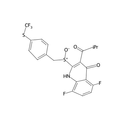 CC(C)C(=O)c1c([S+]([O-])Cc2ccc(SC(F)(F)F)cc2)[nH]c2c(F)ccc(F)c2c1=O